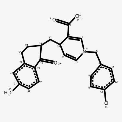 CC(=O)C1=CN(Cc2ccc(Cl)cc2)C=CC1CC1CCc2cc(C)ccc2C1=O